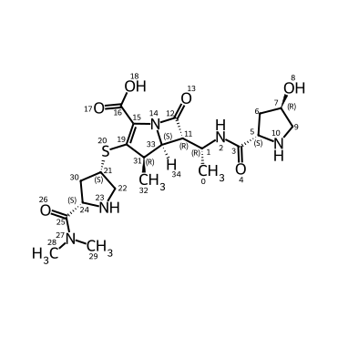 C[C@@H](NC(=O)[C@@H]1C[C@@H](O)CN1)[C@H]1C(=O)N2C(C(=O)O)=C(S[C@@H]3CN[C@H](C(=O)N(C)C)C3)[C@H](C)[C@H]12